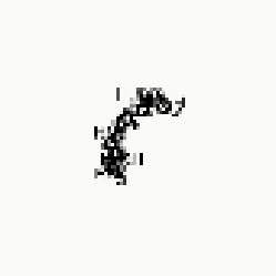 Cn1c(=O)n(C2CCC(=O)NC2=O)c2ccc([C@@H]3CCN(CC(=O)Nc4ccc5c(F)c(N6CC(=O)NS6(=O)=O)c(O)cc5c4)C[C@H]3F)cc21